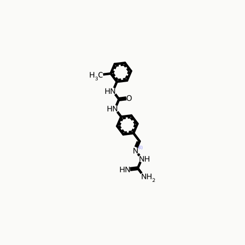 Cc1ccccc1NC(=O)Nc1ccc(/C=N/NC(=N)N)cc1